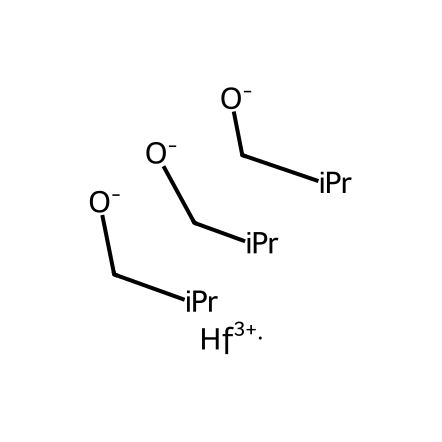 CC(C)C[O-].CC(C)C[O-].CC(C)C[O-].[Hf+3]